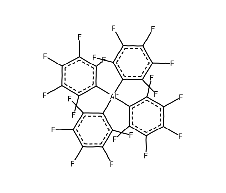 Fc1c(F)c(F)[c]([Al-]([c]2c(F)c(F)c(F)c(F)c2F)([c]2c(F)c(F)c(F)c(F)c2F)[c]2c(F)c(F)c(F)c(F)c2F)c(F)c1F